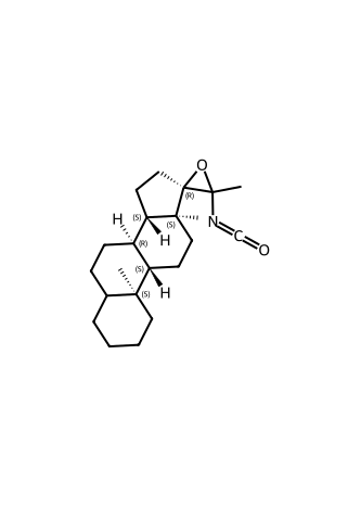 CC1(N=C=O)O[C@@]12CC[C@H]1[C@@H]3CCC4CCCC[C@]4(C)[C@H]3CC[C@@]12C